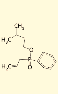 C=CCP(=O)(OCCC(C)C)c1ccccc1